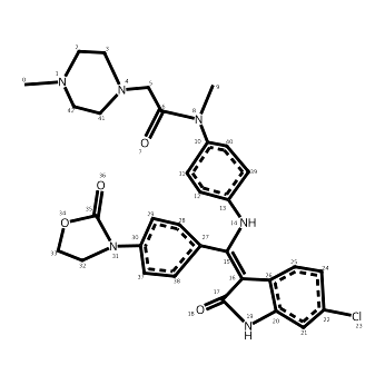 CN1CCN(CC(=O)N(C)c2ccc(NC(=C3C(=O)Nc4cc(Cl)ccc43)c3ccc(N4CCOC4=O)cc3)cc2)CC1